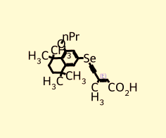 CCCOc1cc([Se]C#C/C(C)=C/C(=O)O)cc2c1C(C)(C)CCC2(C)C